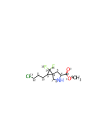 COC(=O)C1CC2(CN1)C(CCCCl)C2(F)F